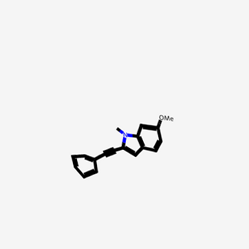 COc1ccc2cc(C#Cc3ccccc3)n(C)c2c1